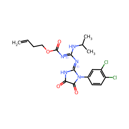 C=CCCOC(=O)/N=C(/N=C1\NC(=O)C(=O)N1c1ccc(Cl)c(Cl)c1)NC(C)C